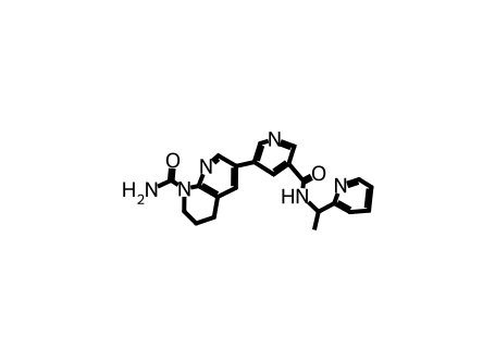 CC(NC(=O)c1cncc(-c2cnc3c(c2)CCCN3C(N)=O)c1)c1ccccn1